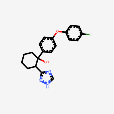 OC1(c2ccc(Oc3ccc(Cl)cc3)cc2)CCCCC1c1nc[nH]n1